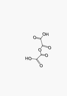 O=C(O)C(=O)OC(=O)C(=O)O